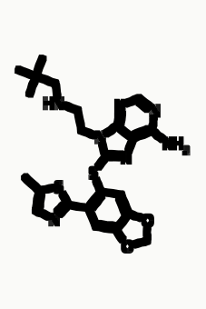 Cc1cnc(-c2cc3c(cc2Sc2nc4c(N)ncnc4n2CCNCC(C)(C)C)OCO3)s1